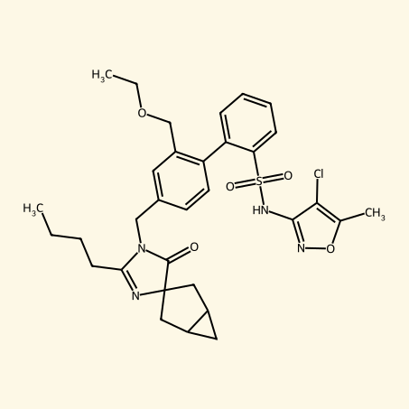 CCCCC1=NC2(CC3CC3C2)C(=O)N1Cc1ccc(-c2ccccc2S(=O)(=O)Nc2noc(C)c2Cl)c(COCC)c1